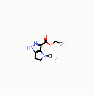 CCOC(=O)c1n[nH]c2c1N(C)CC2